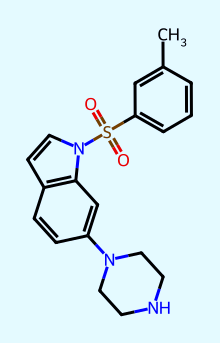 Cc1cccc(S(=O)(=O)n2ccc3ccc(N4CCNCC4)cc32)c1